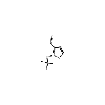 CC(C)(C)Oc1sccc1C=O